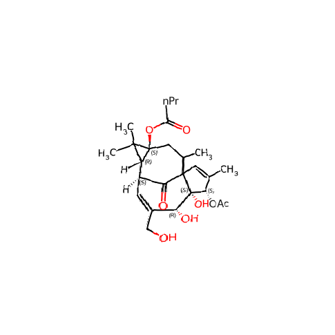 CCCC(=O)O[C@@]12CC(C)C34C=C(C)[C@H](OC(C)=O)[C@@]3(O)[C@H](O)C(CO)=C[C@H](C4=O)[C@@H]1C2(C)C